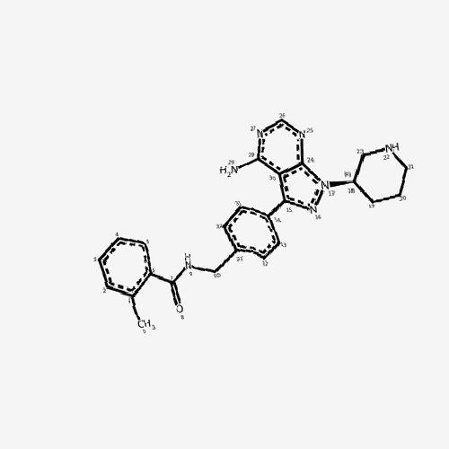 Cc1ccccc1C(=O)NCc1ccc(-c2nn([C@@H]3CCCNC3)c3ncnc(N)c23)cc1